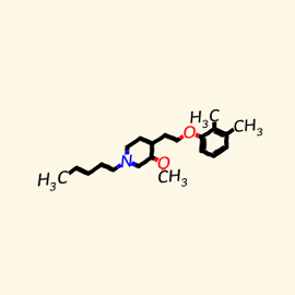 CCCCCN1CCC(CCOc2cccc(C)c2C)C(OC)C1